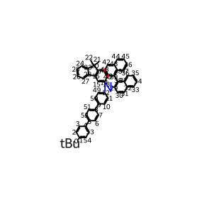 CC(C)(C)c1ccc(-c2ccc(-c3ccc(N(C4=CC5=C(CC4)C(C)(C)c4ccccc45)c4ccc5ccccc5c4-c4c#ccc5ccccc45)cc3)cc2)cc1